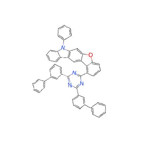 c1ccc(-c2cccc(-c3nc(-c4cccc(-c5ccccc5)c4)nc(-c4cccc5oc6cc7c(cc6c45)c4ccccc4n7-c4ccccc4)n3)c2)cc1